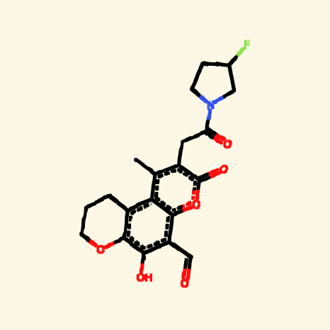 Cc1c(CC(=O)N2CCC(F)C2)c(=O)oc2c(C=O)c(O)c3c(c12)CCCO3